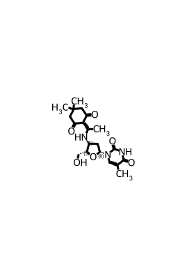 CC(N[C@H]1C[C@H](n2cc(C)c(=O)[nH]c2=O)O[C@@H]1CO)=C1C(=O)CC(C)(C)CC1=O